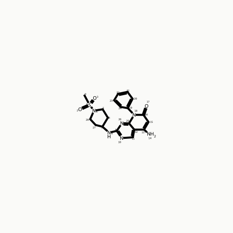 CS(=O)(=O)N1CCC(Nc2ncc3c(N)cc(=O)n(-c4ccccc4)c3n2)CC1